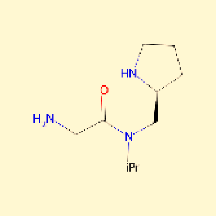 CC(C)N(C[C@@H]1CCCN1)C(=O)CN